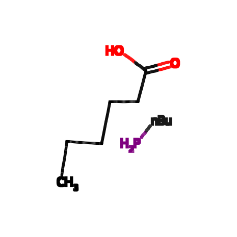 CCCCCC(=O)O.CCCCP